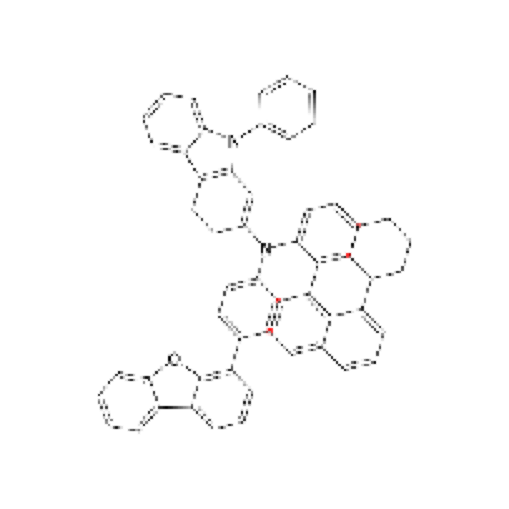 C1=C(N(c2ccc(-c3cccc4c3oc3ccccc34)cc2)c2ccccc2-c2cccc3cccc(C4CCCCC4)c23)CCc2c1n(-c1ccccc1)c1ccccc21